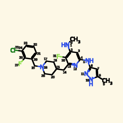 CNc1cc(Nc2cc(C)[nH]n2)nc(CC2CCN(Cc3cccc(Cl)c3F)CC2)c1F